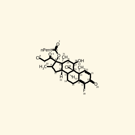 CCCCCC(=O)O[C@]1(C(=O)CCl)C(C)C[C@H]2[C@@H]3CCC4=C(F)C(=O)C=C[C@]4(C)[C@@]3(Cl)C(O)C[C@@]21C